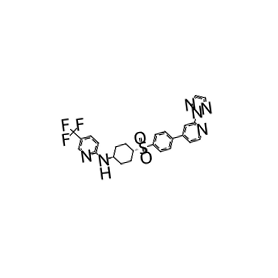 O=S(=O)(c1ccc(-c2ccnc(-n3nccn3)c2)cc1)[C@H]1CC[C@H](Nc2ccc(C(F)(F)F)cn2)CC1